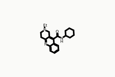 CCN1CCc2nc3ccccc3c(C(=O)NC3CCCCC3)c2C1